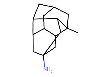 CC12CC3CC4C5CC(N)(CC41)CC2C5C3